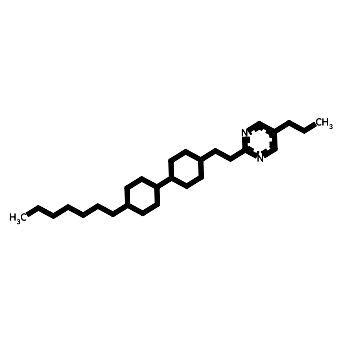 CCCCCCCC1CCC(C2CCC(CCc3ncc(CCC)cn3)CC2)CC1